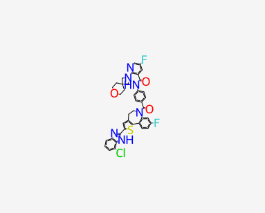 O=C(Nc1ccc(C(=O)N2CCc3cc(-c4nc5cccc(Cl)c5[nH]4)sc3-c3ccc(F)cc32)cc1)c1cc(F)cnc1N1CC2(CCOCC2)C1